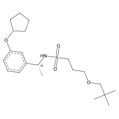 C[C@@H](NS(=O)(=O)CCCOCC(C)(C)C)c1cccc(OC2CCCC2)c1